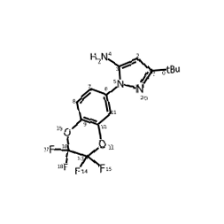 CC(C)(C)c1cc(N)n(-c2ccc3c(c2)OC(F)(F)C(F)(F)O3)n1